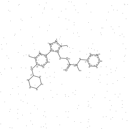 Cc1nc(-c2nnn(C)c2COC(=O)N(C)Cc2cccnc2)ccc1OC1CCCCC1